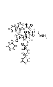 NCCCC[C@H](NC(=O)[C@@H]1C[C@@H](OC(=O)N2CCC(c3ccccc3)CC2)CN1C(=O)[C@@H](CCc1ccccc1)NC(=O)OCc1ccccc1)C(=O)c1nc2ccccc2o1